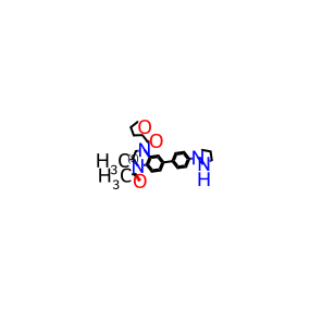 CC(=O)N1c2ccc(-c3ccc(N4CCCN4)cc3)cc2N(C(=O)C2CCCO2)C[C@@H]1C